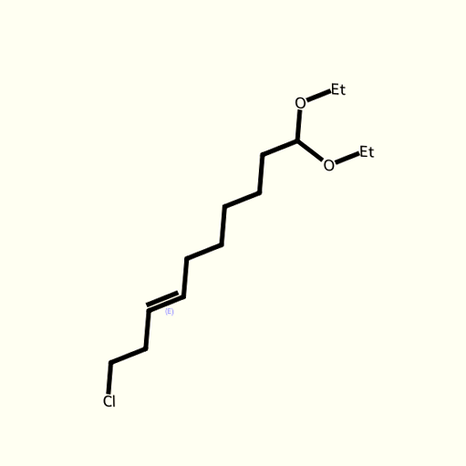 CCOC(CCCCC/C=C/CCCl)OCC